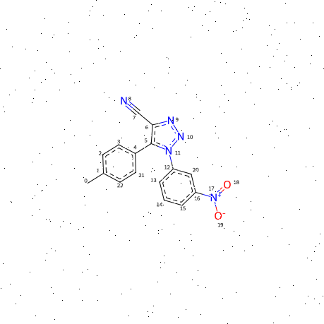 Cc1ccc(-c2c(C#N)nnn2-c2cccc([N+](=O)[O-])c2)cc1